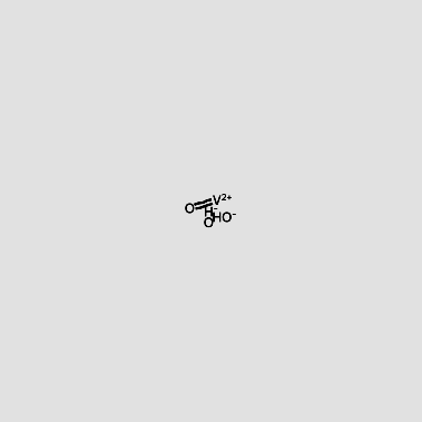 [OH-].[OH-].[O]=[V+2]